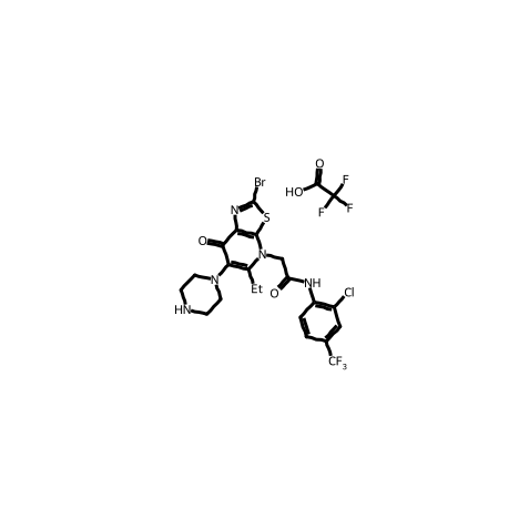 CCc1c(N2CCNCC2)c(=O)c2nc(Br)sc2n1CC(=O)Nc1ccc(C(F)(F)F)cc1Cl.O=C(O)C(F)(F)F